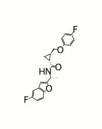 C[C@@H](NC(=O)[C@@H]1C[C@H]1COc1ccc(F)cc1)c1cc2cc(F)ccc2o1